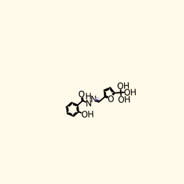 O=C(N/N=C/c1ccc(C(O)(O)O)o1)c1ccccc1O